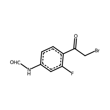 O=CNc1ccc(C(=O)CBr)c(F)c1